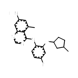 Cc1cc(N)cc2ncnc(Nc3ccc(F)cc3OC3CCC(C)C3)c12